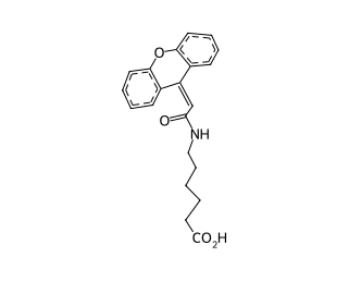 O=C(O)CCCCCNC(=O)C=C1c2ccccc2Oc2ccccc21